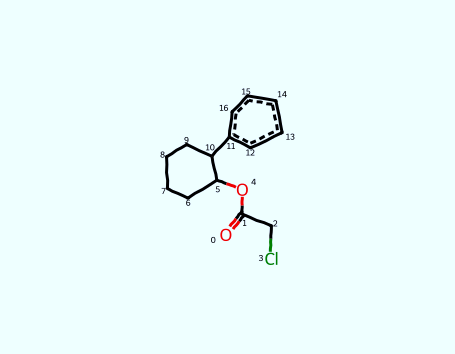 O=C(CCl)OC1CCCCC1c1ccccc1